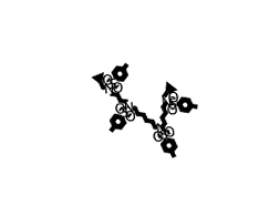 Cc1ccc(S(=O)(=O)N(CCCCCCN(CCCCN(CC2CC2)S(=O)(=O)c2ccc(C)cc2)S(=O)(=O)c2ccc(C)cc2)CCCCN(CC2CC2)S(=O)(=O)c2ccc(C)cc2)cc1